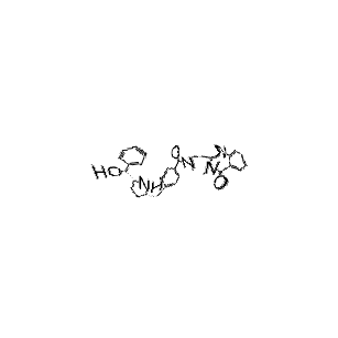 CN(Cc1nc2ccccc2c(=O)n1C)C(=O)c1ccc(C[C@@H]2CC[C@H](C(O)c3ccccc3)N2)cc1